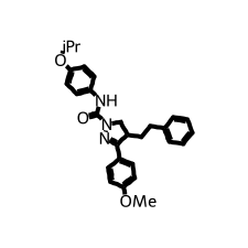 COc1ccc(C2=NN(C(=O)Nc3ccc(OC(C)C)cc3)CC2CCc2ccccc2)cc1